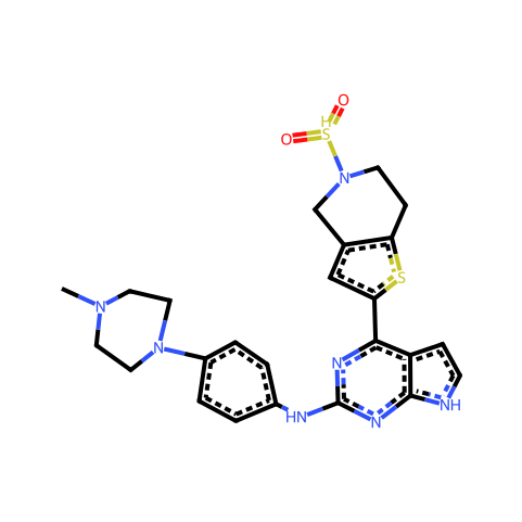 CN1CCN(c2ccc(Nc3nc(-c4cc5c(s4)CCN([SH](=O)=O)C5)c4cc[nH]c4n3)cc2)CC1